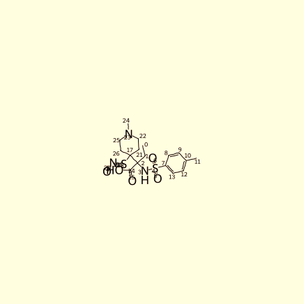 CCC(NS(=O)(=O)c1ccc(C)cc1)(C(=O)O)C1(SN=O)CCN(C)CC1